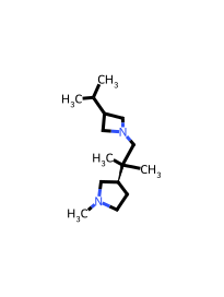 CC(C)C1CN(CC(C)(C)[C@H]2CCN(C)C2)C1